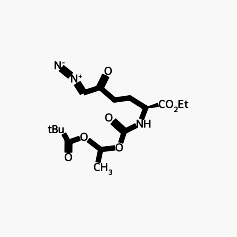 CCOC(=O)[C@H](CCC(=O)C=[N+]=[N-])NC(=O)OC(C)OC(=O)C(C)(C)C